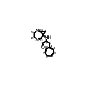 O=CC(CC1=CC=CCC=C1)NC12C=NC=CN=C1C2